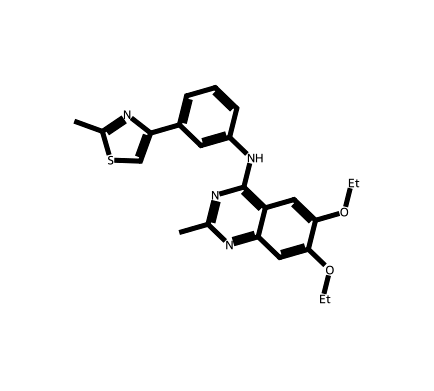 CCOc1cc2nc(C)nc(Nc3cccc(-c4csc(C)n4)c3)c2cc1OCC